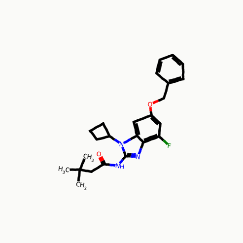 CC(C)(C)CC(=O)Nc1nc2c(F)cc(OCc3ccccc3)cc2n1C1CCC1